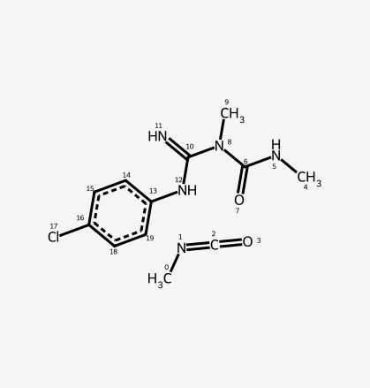 CN=C=O.CNC(=O)N(C)C(=N)Nc1ccc(Cl)cc1